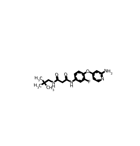 CC(C)(C)CNC(=O)CC(=O)Nc1ccc(Oc2ccnc(N)c2)c(F)c1